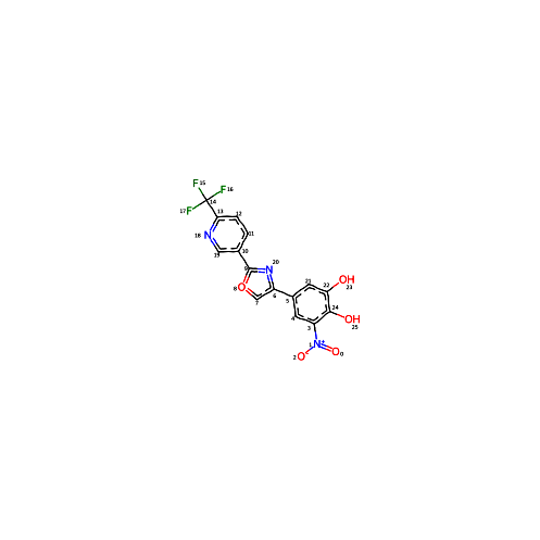 O=[N+]([O-])c1cc(-c2coc(-c3ccc(C(F)(F)F)nc3)n2)cc(O)c1O